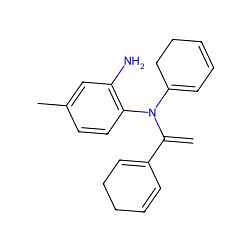 C=C(C1=CCCC=C1)N(C1=CC=CCC1)c1ccc(C)cc1N